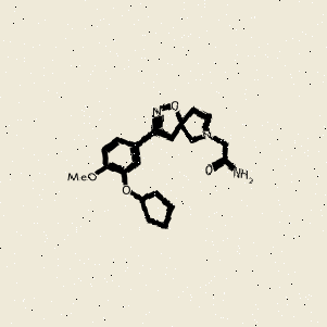 COc1ccc(C2=NOC3(CCN(CC(N)=O)C3)C2)cc1OC1CCCC1